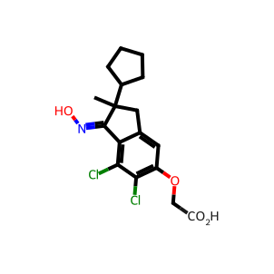 CC1(C2CCCC2)Cc2cc(OCC(=O)O)c(Cl)c(Cl)c2C1=NO